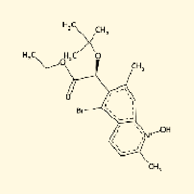 CCOC(=O)[C@@H](OC(C)(C)C)c1c(C)cc2c(ccc(C)[n+]2O)c1Br